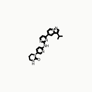 CC(C)c1cnn2ccc(-c3ccnc(Nc4ccc(N5CCCNC5=O)cn4)n3)cc12